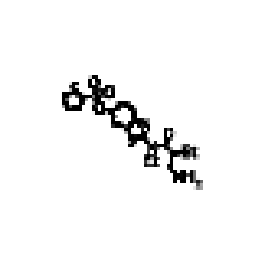 CCC(CN)C(=O)N(CC)c1nc2ccc(OS(=O)(=O)c3cccs3)cc2s1